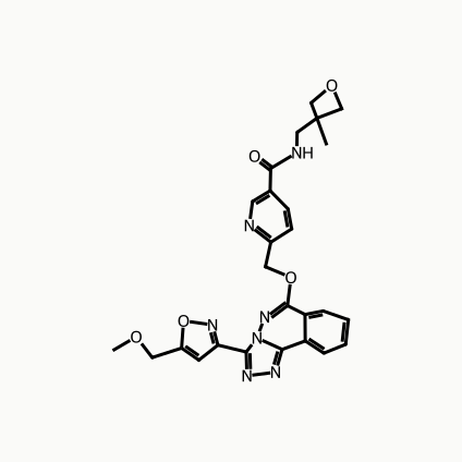 COCc1cc(-c2nnc3c4ccccc4c(OCc4ccc(C(=O)NCC5(C)COC5)cn4)nn23)no1